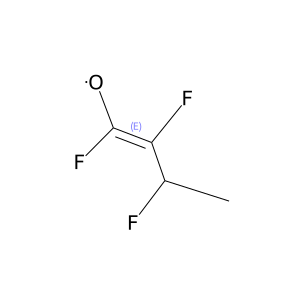 CC(F)/C(F)=C(/[O])F